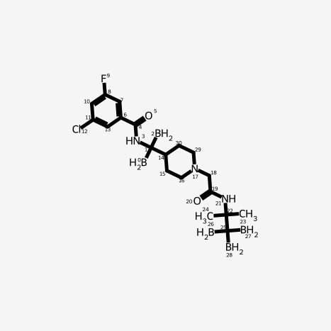 BC(B)(NC(=O)c1cc(F)cc(Cl)c1)C1CCN(CC(=O)NC(C)(C)C(B)(B)B)CC1